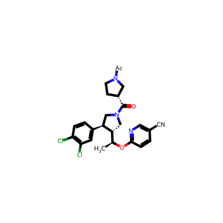 CC(=O)N1CC[C@@H](C(=O)N2C[C@H]([C@H](C)Oc3ccc(C#N)cn3)[C@@H](c3ccc(Cl)c(Cl)c3)C2)C1